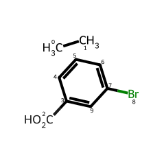 CC.O=C(O)c1cccc(Br)c1